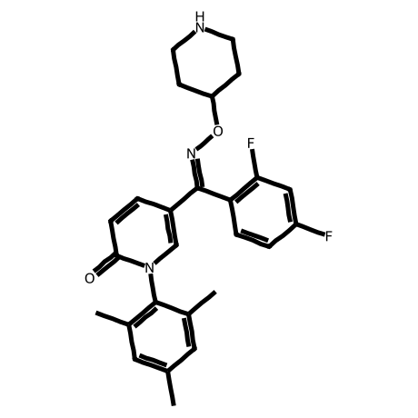 Cc1cc(C)c(-n2cc(C(=NOC3CCNCC3)c3ccc(F)cc3F)ccc2=O)c(C)c1